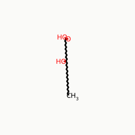 CCCCCCCCCCCCCCCCCC(O)CCCCCCCCCCC(=O)O